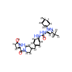 Cc1ccc(-n2nc(C(C)(C)C)cc2NC(=O)Nc2ccc(CC3CCN(C(=O)[C@H]4CCC(=O)N4)CC3)cc2)cc1